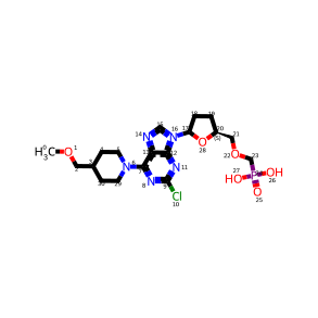 COCC1CCN(c2nc(Cl)nc3c2ncn3C2CC[C@@H](COCP(=O)(O)O)O2)CC1